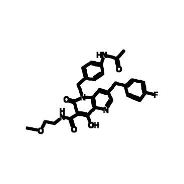 COCCNC(=O)c1c(O)c2ncc(Cc3ccc(F)cc3)cc2n(Cc2ccc(NC(C)=O)cc2)c1=O